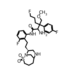 COCC(CCCF)(c1ccc(F)cc1)C(N)C(=O)Nc1cccc(F)c1CC[C@H]1CNC2CCCS(=O)(=O)N1C2